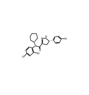 O=C(C1=NN[C@H](c2ccc(Cl)cc2)C1)N(c1ccc(Cl)cc1Cl)N1CCCCC1